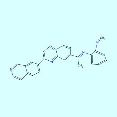 C=Nc1ccccc1/N=C(\C)c1ccc2ccc(-c3ccc4ccncc4c3)nc2c1